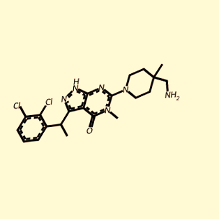 CC(c1cccc(Cl)c1Cl)c1n[nH]c2nc(N3CCC(C)(CN)CC3)n(C)c(=O)c12